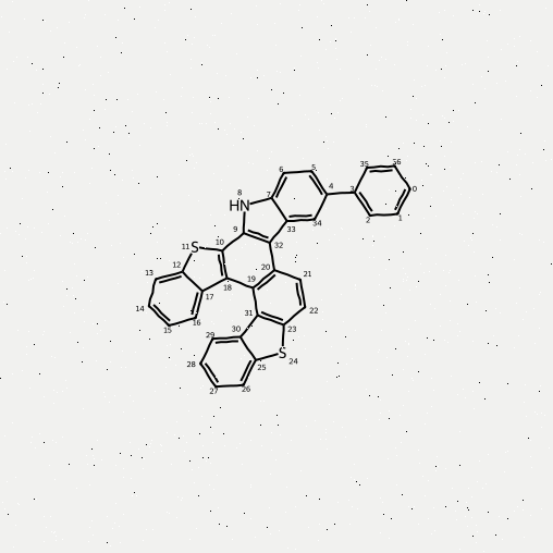 c1ccc(-c2ccc3[nH]c4c5sc6ccccc6c5c5c(ccc6sc7ccccc7c65)c4c3c2)cc1